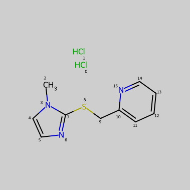 Cl.Cl.Cn1ccnc1SCc1ccccn1